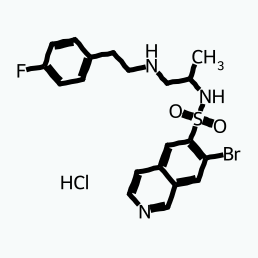 CC(CNCCc1ccc(F)cc1)NS(=O)(=O)c1cc2ccncc2cc1Br.Cl